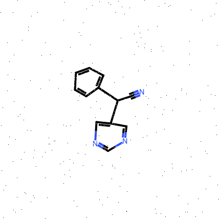 N#CC(c1ccccc1)c1cncnc1